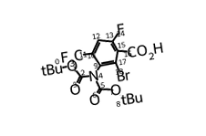 CC(C)(C)OC(=O)N(C(=O)OC(C)(C)C)c1c(C(F)(F)F)cc(F)c(C(=O)O)c1Br